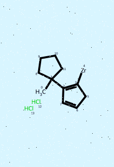 CC1(C2=[C]([Zr])CC=C2)CCCC1.Cl.Cl